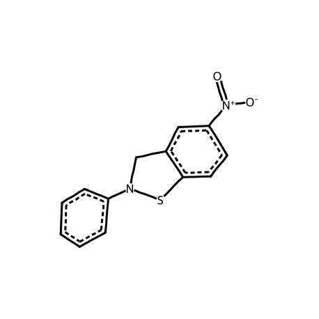 O=[N+]([O-])c1ccc2c(c1)CN(c1ccccc1)S2